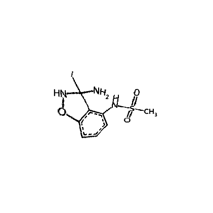 CS(=O)(=O)Nc1cccc2c1C(N)(I)NO2